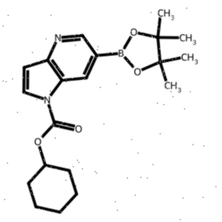 CC1(C)OB(c2cnc3ccn(C(=O)OC4CCCCC4)c3c2)OC1(C)C